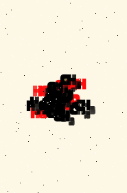 CC=C[C@H](CC(C)(C)[Si](C)(C)O)[C@H](CC(C)(C)[Si](C)(C)O)[C@H]1OC(C)(C)O[C@H]1[C@@H](CO)OS(C)(=O)=O